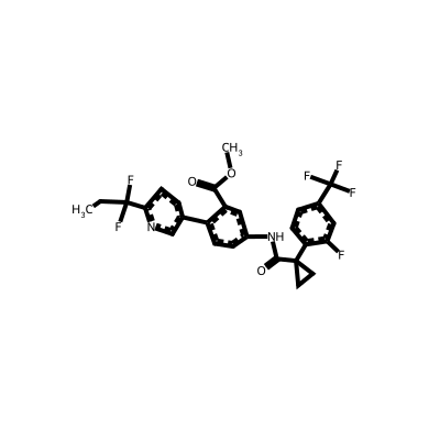 CCC(F)(F)c1ccc(-c2ccc(NC(=O)C3(c4ccc(C(F)(F)F)cc4F)CC3)cc2C(=O)OC)cn1